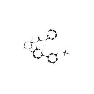 O=C(Nc1ccccn1)N1c2nc(-c3cccc(OC(F)(F)F)c3)ccc2N2CC[C@H]1C2